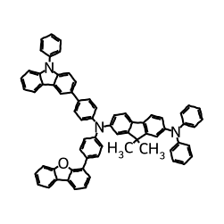 CC1(C)c2cc(N(c3ccccc3)c3ccccc3)ccc2-c2ccc(N(c3ccc(-c4ccc5c(c4)c4ccccc4n5-c4ccccc4)cc3)c3ccc(-c4cccc5c4oc4ccccc45)cc3)cc21